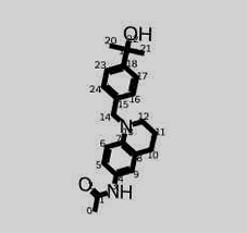 CC(=O)Nc1ccc2c(c1)CCCN2Cc1ccc(C(C)(C)O)cc1